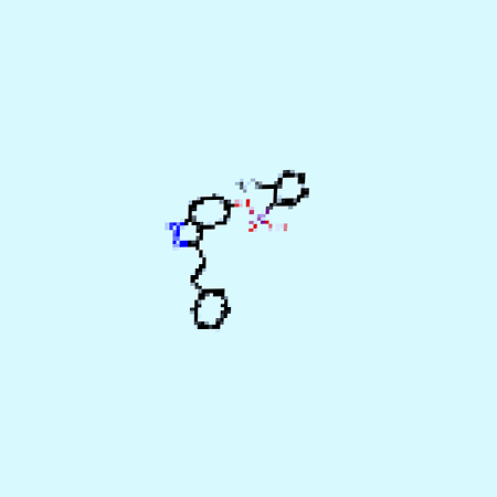 Cc1ccccc1P(=O)(O)Oc1ccc2[nH]nc(/C=C/c3ccccc3)c2c1